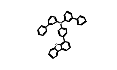 c1ccc(-c2cccc(N(c3ccc(-c4cccc5c4oc4ccccc45)cc3)c3cccc(-c4ccccc4)c3)c2)cc1